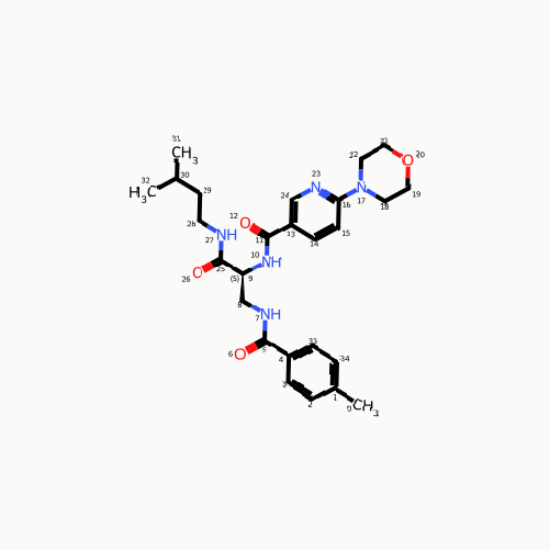 Cc1ccc(C(=O)NC[C@H](NC(=O)c2ccc(N3CCOCC3)nc2)C(=O)NCCC(C)C)cc1